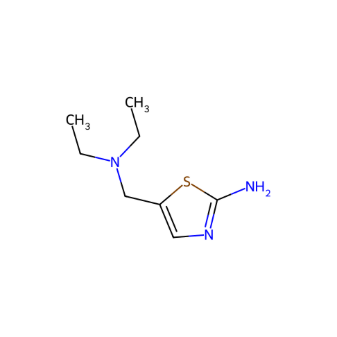 CCN(CC)Cc1cnc(N)s1